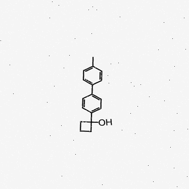 Cc1ccc(-c2ccc(C3(O)CCC3)cc2)cc1